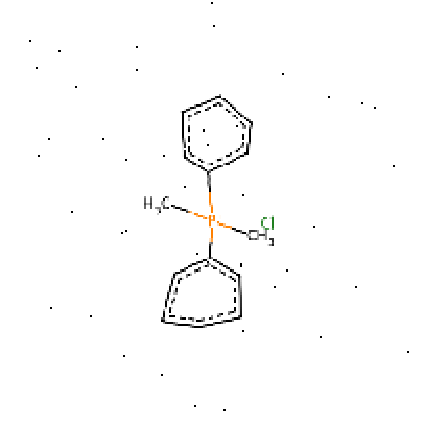 C[P+](C)(c1ccccc1)c1ccccc1.[Cl-]